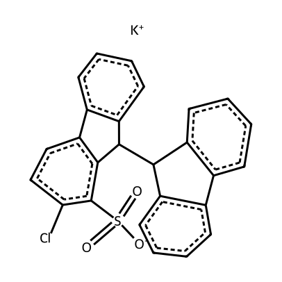 O=S(=O)([O-])c1c(Cl)ccc2c1C(C1c3ccccc3-c3ccccc31)c1ccccc1-2.[K+]